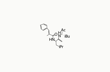 C=C(NC(C(C)=O)[C@@H](C)CC)C(CC(C)C)NC(=O)/C(C)=C/c1ccccc1